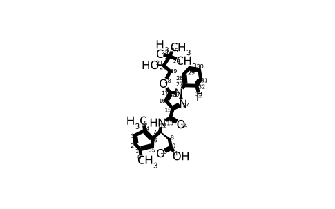 Cc1ccc(C)c([C@H](CC(=O)O)NC(=O)c2cc(OC[C@H](O)C(C)(C)C)n(-c3ccccc3F)n2)c1